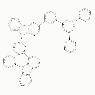 c1ccc(-c2cc(-c3cccc(-c4ccc5c(c4)c4ccccc4n5-c4cccc(-c5cccc6c7ccccc7n(-c7ccccc7)c56)c4)c3)cc(-c3ccccc3)n2)cc1